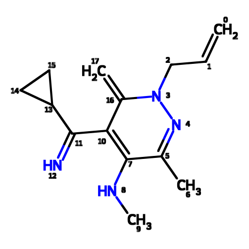 C=CCN1N=C(C)C(NC)=C(C(=N)C2CC2)C1=C